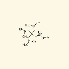 CCN(C)CC(C[SiH2]OC(C)C)(CN(C)CC)CN(C)CC